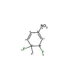 CC1(F)C=CC([N+](=O)[O-])=CC1F